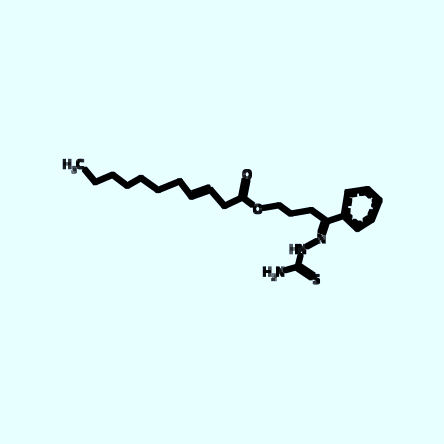 CCCCCCCC=CCC(=O)OCCCC(=NNC(N)=S)c1ccccc1